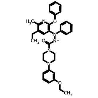 CCOc1cccc(N2CCN(C(=O)NN(c3ccccc3)c3cc(CC)c(C)nc3Oc3ccccc3)CC2)c1